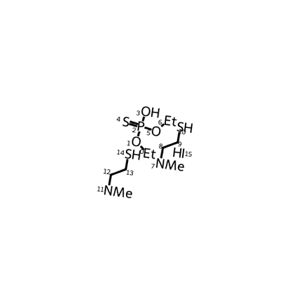 CCOP(O)(=S)OCC.CNCCS.CNCCS.I